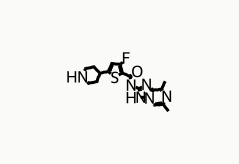 Cc1cn2nc(NC(=O)c3sc(C4CCNCC4)cc3F)nc2c(C)n1